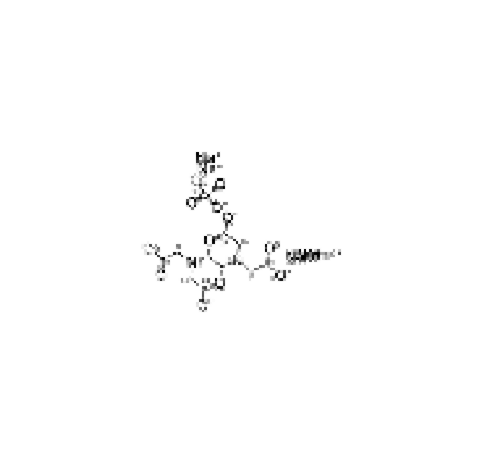 O=C([O-])CN(CCN(CC(=O)[O-])CC(=O)[O-])CC(=O)[O-].O=S(=O)([O-])[O-].[Mn+2].[Na+].[Na+].[Na+].[Na+]